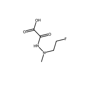 CN(CCF)NC(=O)C(=O)O